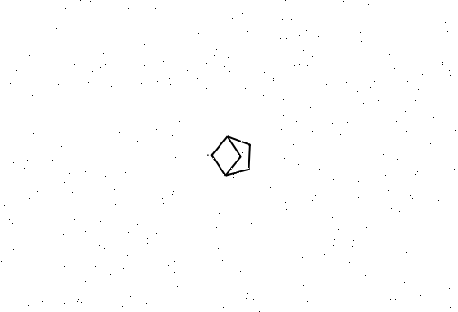 [CH]1C2CCC1C2